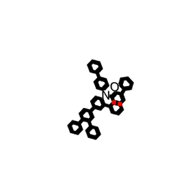 c1ccc(-c2ccc(N(c3ccc(-c4ccc(-c5ccccc5)c(-c5ccccc5)c4)cc3-c3ccccc3)c3cccc4c3oc3ccccc34)cc2)cc1